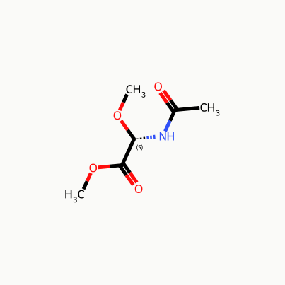 COC(=O)[C@@H](NC(C)=O)OC